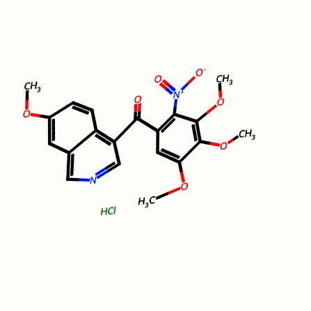 COc1ccc2c(C(=O)c3cc(OC)c(OC)c(OC)c3[N+](=O)[O-])cncc2c1.Cl